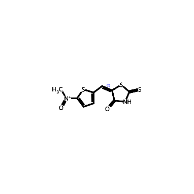 C[N+](=O)c1ccc(/C=C2/SC(=S)NC2=O)s1